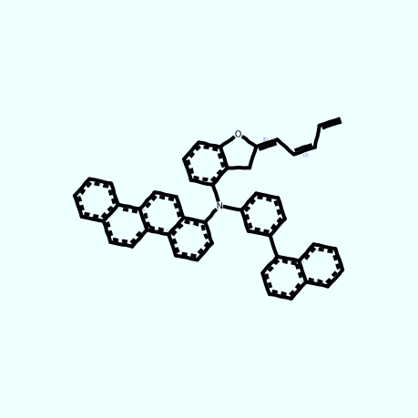 C=C/C=C\C=C1/Cc2c(cccc2N(c2cccc(-c3cccc4ccccc34)c2)c2cccc3c2ccc2c4ccccc4ccc32)O1